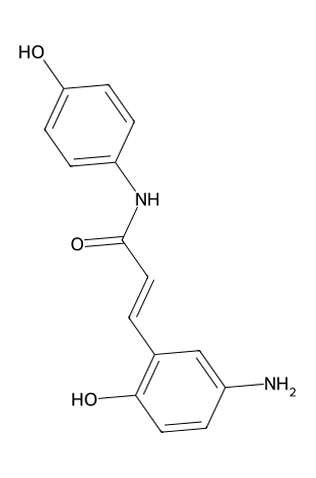 Nc1ccc(O)c(C=CC(=O)Nc2ccc(O)cc2)c1